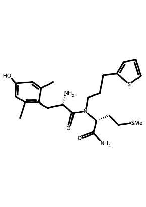 CSCC[C@H](C(N)=O)N(CCCc1cccs1)C(=O)[C@@H](N)Cc1c(C)cc(O)cc1C